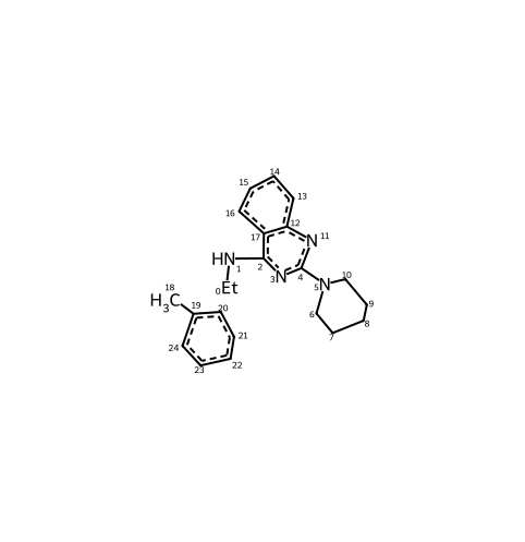 CCNc1nc(N2CCCCC2)nc2ccccc12.Cc1ccccc1